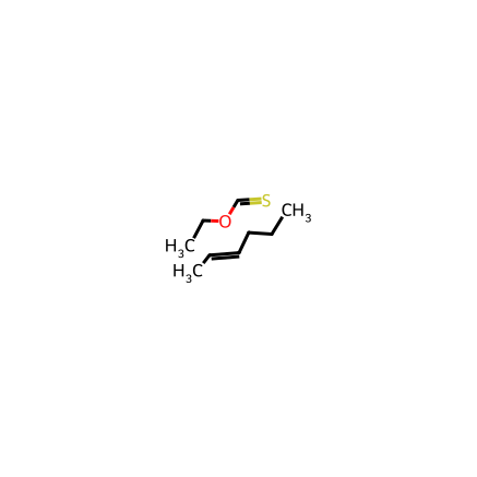 CC=CCCC.CCOC=S